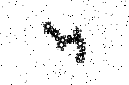 CS(C)(C)c1cc(NC(=O)Nc2ccc(Oc3ccnc(Nc4ccccc4)n3)c3ccccc23)n(-c2ccc(OCCN3CCOCC3)cc2)n1